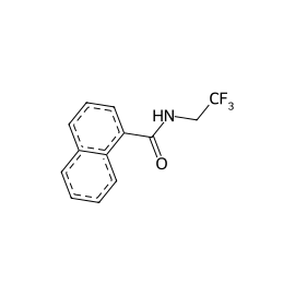 O=C(NCC(F)(F)F)c1cccc2ccccc12